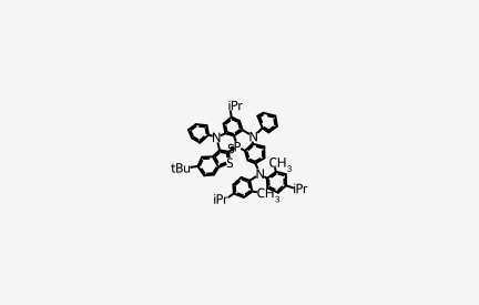 Cc1cc(C(C)C)ccc1N(c1ccc2c(c1)P1(=S)c3sc4ccc(C(C)(C)C)cc4c3N(c3ccccc3)c3cc(C(C)C)cc(c31)N2c1ccccc1)c1ccc(C(C)C)cc1C